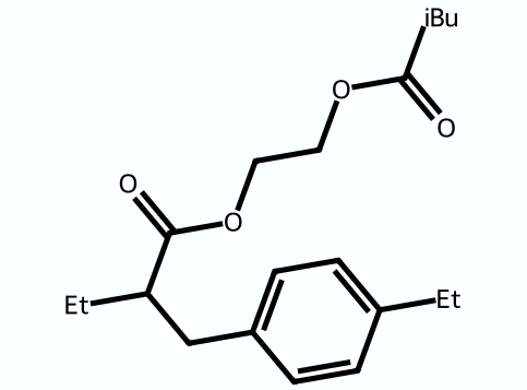 CCc1ccc(CC(CC)C(=O)OCCOC(=O)C(C)CC)cc1